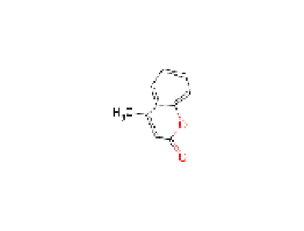 Cc1[c]c(=O)oc2ccccc12